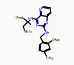 CCCCCC(C)(CNC(C)=O)Nc1nc(NCc2ccc(OC)cc2OC)nc2cccnc12